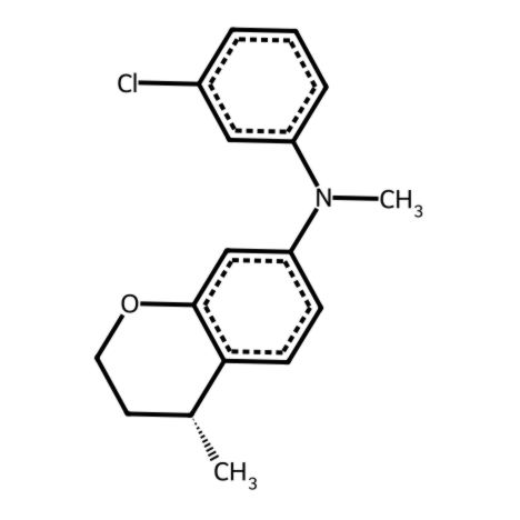 C[C@@H]1CCOc2cc(N(C)c3cccc(Cl)c3)ccc21